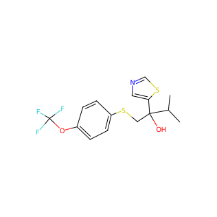 CC(C)C(O)(CSc1ccc(OC(F)(F)F)cc1)c1cncs1